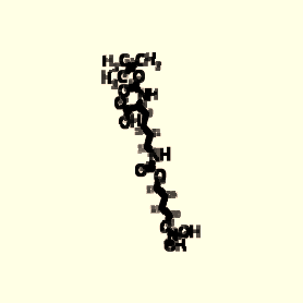 CC(C)(C)OC(=O)NC(CCCCNC(=O)OCCCCON(O)O)C(=O)O